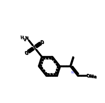 CO/C=C(\C)c1cccc(S(N)(=O)=O)c1